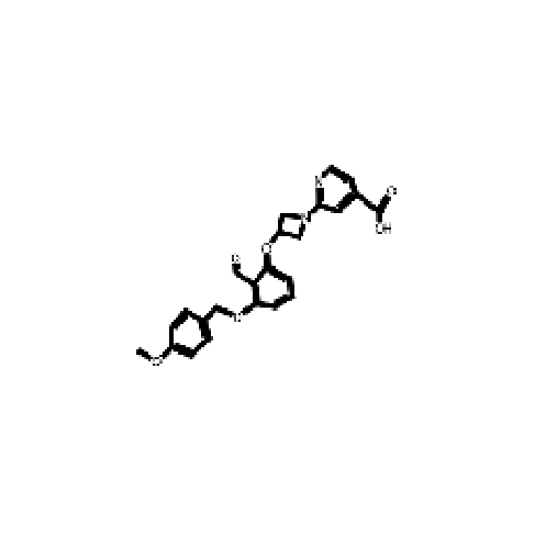 COc1ccc(COc2cccc(OC3CN(c4cc(C(=O)O)ccn4)C3)c2C=O)cc1